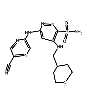 N#Cc1cnc(Nc2cc(NCC3CCNCC3)c(S(N)(=O)=O)nn2)cn1